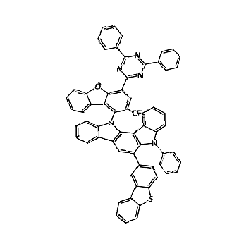 FC(F)(F)c1cc(-c2nc(-c3ccccc3)nc(-c3ccccc3)n2)c2oc3ccccc3c2c1-n1c2ccccc2c2cc(-c3ccc4sc5ccccc5c4c3)c3c(c4ccccc4n3-c3ccccc3)c21